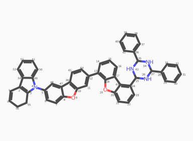 C1=Cc2c(n(-c3ccc4oc5cc(-c6cccc7c6oc6cccc(C8NC(c9ccccc9)NC(c9ccccc9)N8)c67)ccc5c4c3)c3ccccc23)CC1